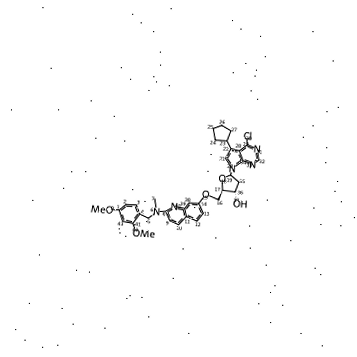 COc1ccc(CN(C)c2ccc3ccc(OC[C@H]4O[C@@H](n5cc(C6CCCC6)c6c(Cl)ncnc65)C[C@@H]4O)cc3n2)c(OC)c1